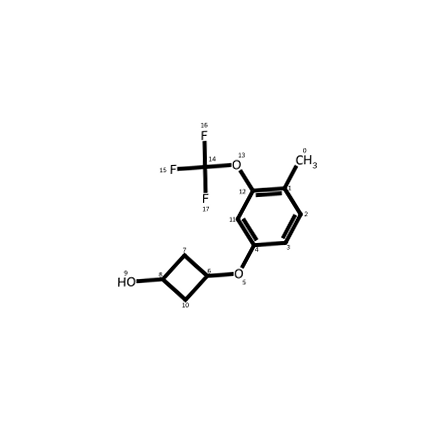 Cc1ccc(OC2CC(O)C2)cc1OC(F)(F)F